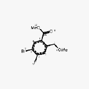 COCc1cc(F)c(Br)cc1C(=O)OC